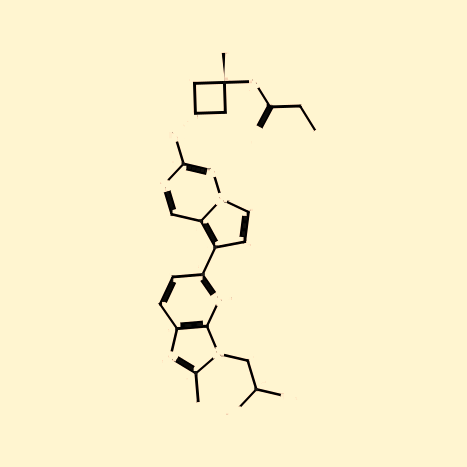 CCC(=O)N[C@]1(C)C[C@H](Nc2ncc3c(-c4ccc5nc(C)n(CC(F)F)c5n4)ccn3n2)C1